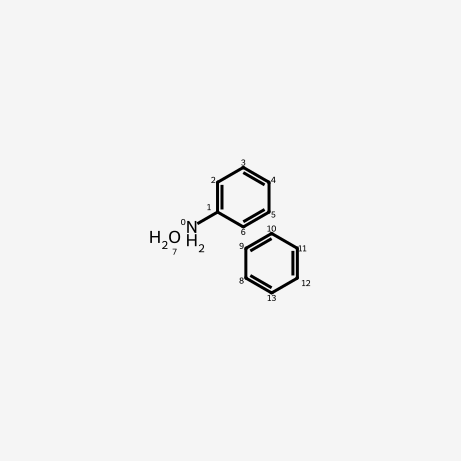 Nc1ccccc1.O.c1ccccc1